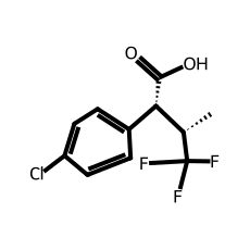 C[C@@H]([C@@H](C(=O)O)c1ccc(Cl)cc1)C(F)(F)F